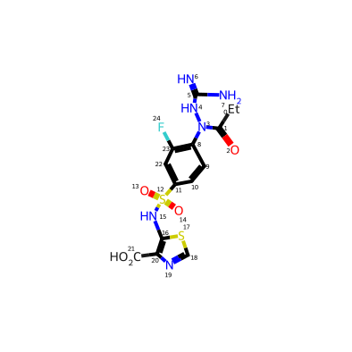 CCC(=O)N(NC(=N)N)c1ccc(S(=O)(=O)Nc2scnc2C(=O)O)cc1F